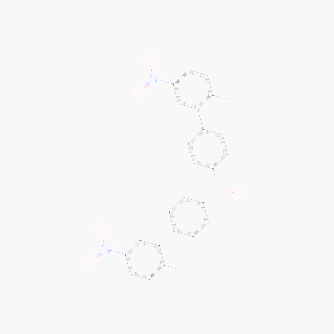 O=[N+]([O-])c1ccc(Cl)c(-c2ccc([S+]([O-])c3ccc(-c4cc([N+](=O)[O-])ccc4Cl)cc3)cc2)c1